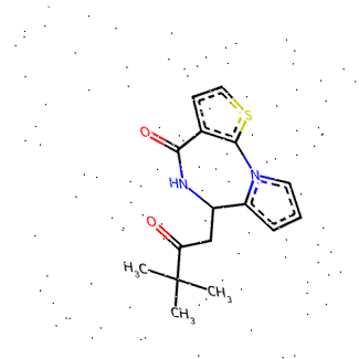 CC(C)(C)C(=O)CC1NC(=O)c2ccsc2-n2cccc21